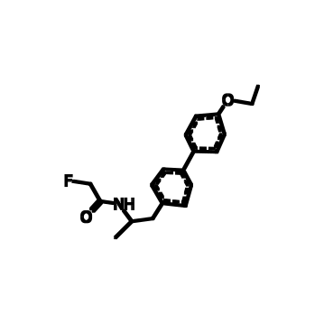 CCOc1ccc(-c2ccc(CC(C)NC(=O)CF)cc2)cc1